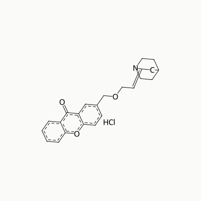 Cl.O=c1c2ccccc2oc2ccc(COCC=C3CC4CCN3CC4)cc12